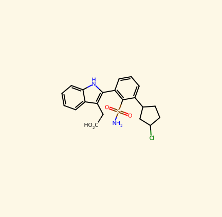 NS(=O)(=O)c1c(-c2[nH]c3ccccc3c2CC(=O)O)cccc1C1CCC(Cl)C1